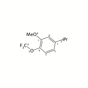 [CH2]C(C)c1ccc(OC(F)(F)F)c(OC)c1